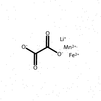 O=C([O-])C(=O)[O-].[Fe+2].[Li+].[Mn+2]